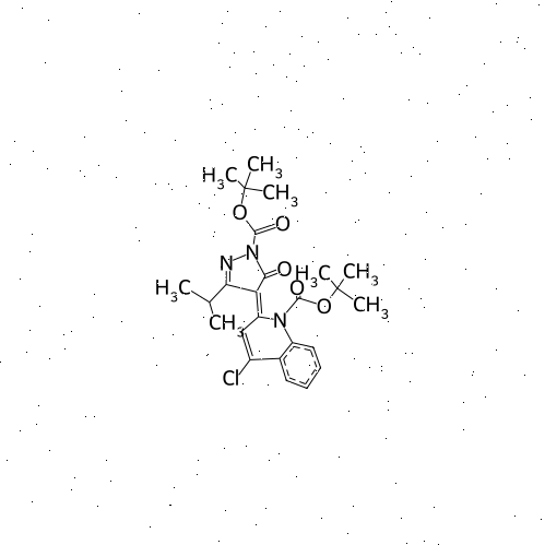 CC(C)C1=NN(C(=O)OC(C)(C)C)C(=O)C1=C1C=C(Cl)c2ccccc2N1C(=O)OC(C)(C)C